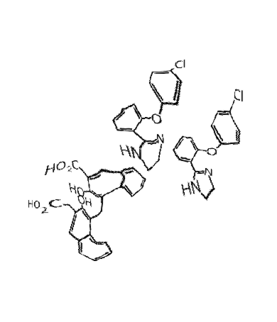 Clc1ccc(Oc2ccccc2C2=NCCN2)cc1.Clc1ccc(Oc2ccccc2C2=NCCN2)cc1.O=C(O)c1cc2ccccc2c(Cc2c(O)c(C(=O)O)cc3ccccc23)c1O